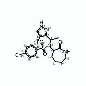 CC(c1n[nH]cc1Cl)N(C1CCCCNC1=O)S(=O)(=O)c1ccc(Cl)cc1